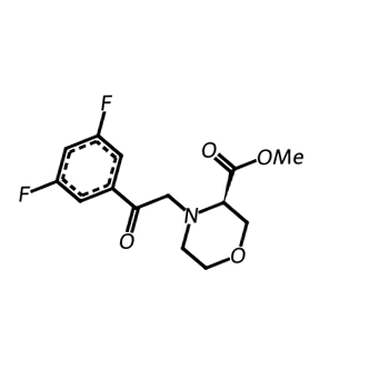 COC(=O)[C@H]1COCCN1CC(=O)c1cc(F)cc(F)c1